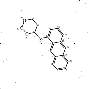 c1ccc2cc3c(NC4CCOOO4)cccc3cc2c1